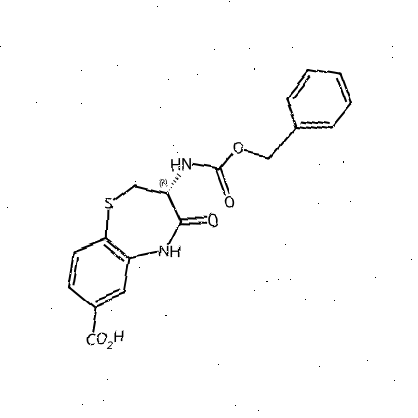 O=C(N[C@H]1CSc2ccc(C(=O)O)cc2NC1=O)OCc1ccccc1